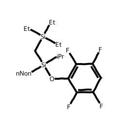 CCCCCCCCC[Si](C[Si](CC)(CC)CC)(Oc1c(F)c(F)[c]c(F)c1F)C(C)C